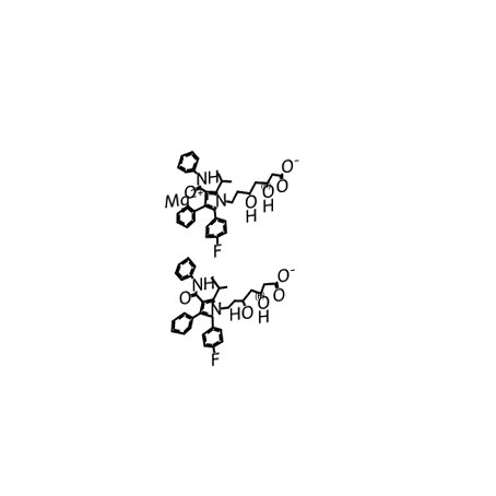 CC(C)c1c(C(=O)Nc2ccccc2)c(-c2ccccc2)c(-c2ccc(F)cc2)n1CCC(O)C[C@@H](O)CC(=O)[O-].CC(C)c1c(C(=O)Nc2ccccc2)c(-c2ccccc2)c(-c2ccc(F)cc2)n1CCC(O)C[C@@H](O)CC(=O)[O-].[Mg+2]